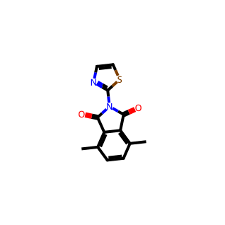 Cc1ccc(C)c2c1C(=O)N(c1nccs1)C2=O